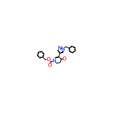 O=C1CCN(C(=O)OCc2ccccc2)C=C1c1cnn(Cc2ccccc2)c1